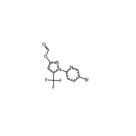 O=COc1cc(C(F)(F)F)n(-c2ccc(Br)cn2)n1